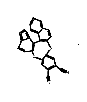 N#Cc1cc2oc3ccc4ccccc4c3c3c(ccc4ccccc43)oc2cc1C#N